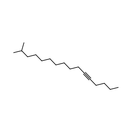 CCCCC#CCCCCCCCC[C](C)C